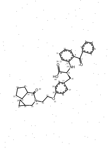 O=C(c1ccccc1)c1ccccc1N[C@@H](Cc1ccc(OCCN(CC2CC2)C(=O)C2CCCC2)cc1)C(=O)O